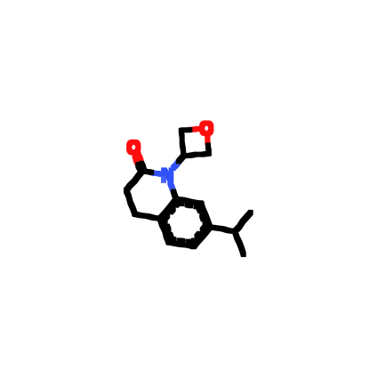 CC(C)c1ccc2c(c1)N(C1COC1)C(=O)CC2